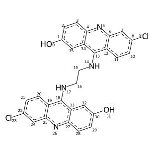 Oc1ccc2nc3cc(Cl)ccc3c(NCCNc3c4ccc(Cl)cc4nc4ccc(O)cc34)c2c1